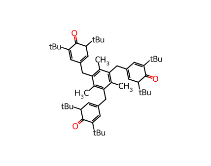 Cc1c(CC2=CC(C(C)(C)C)C(=O)C(C(C)(C)C)=C2)c(C)c(CC2=CC(C(C)(C)C)C(=O)C(C(C)(C)C)=C2)c(C)c1CC1=CC(C(C)(C)C)C(=O)C(C(C)(C)C)=C1